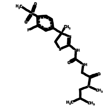 CC(C)CN(C)C(=O)CNC(=O)NC1=N[C@@](C)(c2ccc(S(C)(=O)=O)c(F)c2)CS1